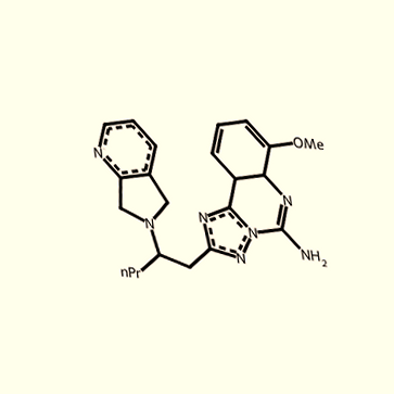 CCCC(Cc1nc2n(n1)C(N)=NC1C(OC)=CC=CC21)N1Cc2cccnc2C1